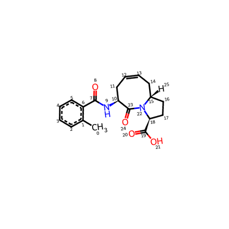 Cc1ccccc1C(=O)N[C@H]1C/C=C\C[C@@H]2CC[C@@H](C(=O)O)N2C1=O